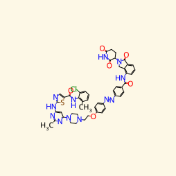 Cc1nc(Nc2ncc(C(=O)Nc3c(C)cccc3Cl)s2)cc(N2CCN(CCOc3ccc(N=Nc4ccc(C(=O)Nc5cccc6c5CN(C5CCC(=O)NC5=O)C6=O)cc4)cc3)CC2)n1